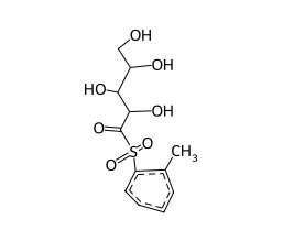 Cc1ccccc1S(=O)(=O)C(=O)C(O)C(O)C(O)CO